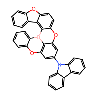 c1ccc2c(c1)Oc1cc(-n3c4ccccc4c4ccccc43)cc3c1B2c1c(ccc2oc4ccccc4c12)O3